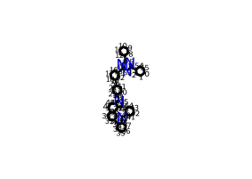 c1ccc(-c2nc(-c3ccccc3)nc(-c3cccc(-c4ccc(-n5ccc6c7c(ccc8c9ccccc9n(-c9ccccc9)c87)ccc65)cc4)c3)n2)cc1